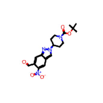 CC(C)(C)OC(=O)N1CCC(n2cc3cc([N+](=O)[O-])c(C=O)cc3n2)CC1